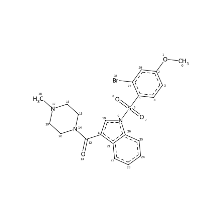 COc1ccc(S(=O)(=O)n2cc(C(=O)N3CCN(C)CC3)c3ccccc32)c(Br)c1